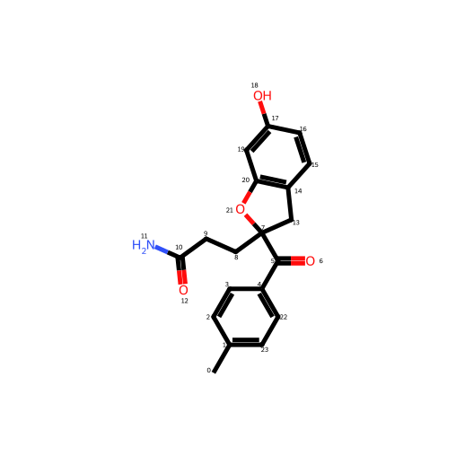 Cc1ccc(C(=O)C2(CCC(N)=O)Cc3ccc(O)cc3O2)cc1